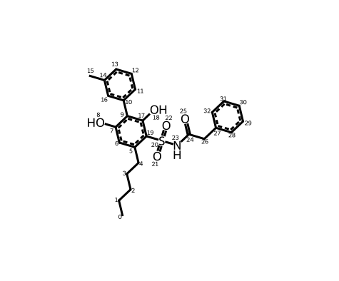 CCCCCc1cc(O)c(-c2cccc(C)c2)c(O)c1S(=O)(=O)NC(=O)Cc1ccccc1